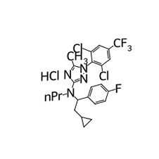 CCCN(c1nc(C)n(-c2c(Cl)cc(C(F)(F)F)cc2Cl)n1)C(CC1CC1)c1ccc(F)cc1.Cl